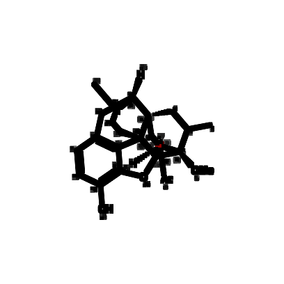 CO[C@]12C(C)C[C@@]3(C[C@@H]1C(C)=O)[C@H]1Cc4ccc(O)c5c4[C@@]3(CCN1C)[C@H]2O5